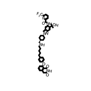 CC(C)(O)c1cc2nn([C@H]3CC[C@H](CNCCCCCc4ccc(Oc5cccc6c5C(=O)NC(=O)C6)cc4)CC3)cc2cc1NC(=O)c1cccc(C(F)(F)F)n1